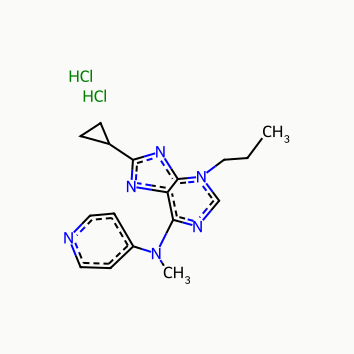 CCCn1cnc(N(C)c2ccncc2)c2nc(C3CC3)nc1-2.Cl.Cl